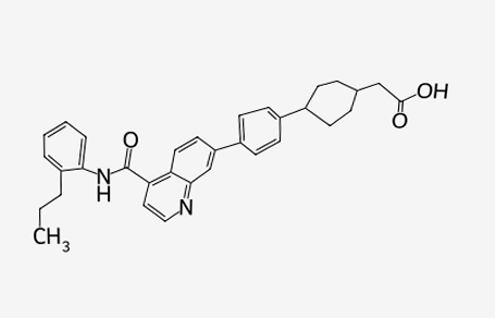 CCCc1ccccc1NC(=O)c1ccnc2cc(-c3ccc(C4CCC(CC(=O)O)CC4)cc3)ccc12